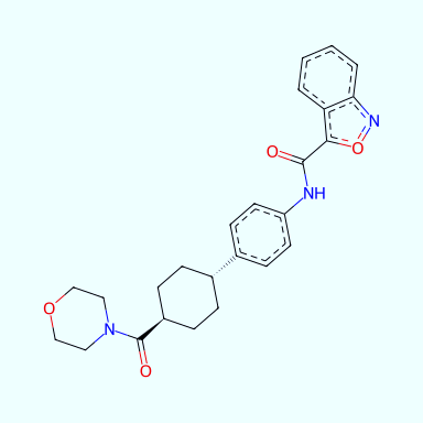 O=C(Nc1ccc([C@H]2CC[C@H](C(=O)N3CCOCC3)CC2)cc1)c1onc2ccccc12